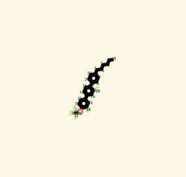 CCCCCCc1ccc(-c2ccc(-c3ccc(OC(F)(F)F)c(F)c3)cc2F)cc1